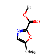 CCOC(=O)c1ncc(OC)o1